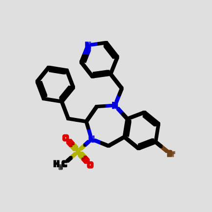 CS(=O)(=O)N1Cc2cc(Br)ccc2N(Cc2ccncc2)CC1Cc1ccccc1